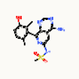 Cc1ccc(O)c(C)c1-c1nc(NS(C)(=O)=O)cc2c(N)ncnc12